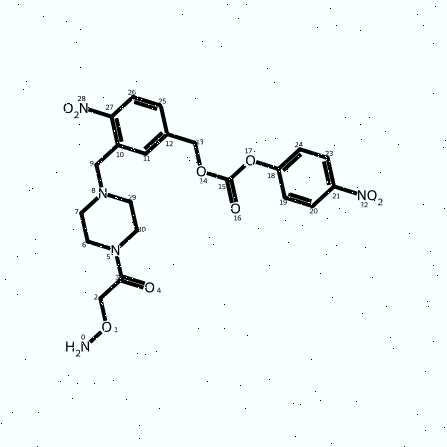 NOCC(=O)N1CCN(Cc2cc(COC(=O)Oc3ccc([N+](=O)[O-])cc3)ccc2[N+](=O)[O-])CC1